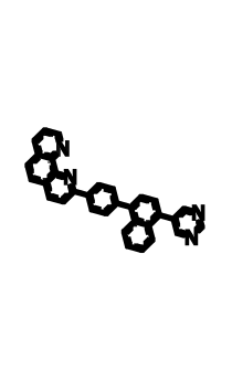 c1cnc2c(c1)ccc1ccc(-c3ccc(-c4ccc(-c5cncnc5)c5ccccc45)cc3)nc12